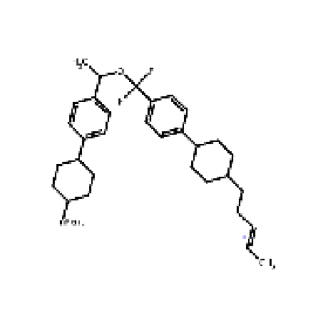 C/C=C/CCC1CCC(c2ccc(C(F)(F)OC(C)c3ccc(C4CCC(CCCCC)CC4)cc3)cc2)CC1